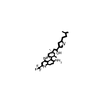 CC(C)CCC1C=C(C(O)C[C@]2(C)CCC(c3c(N)ccc4nc(C(F)(F)F)cc(N)c34)C(C)C2)C=N1